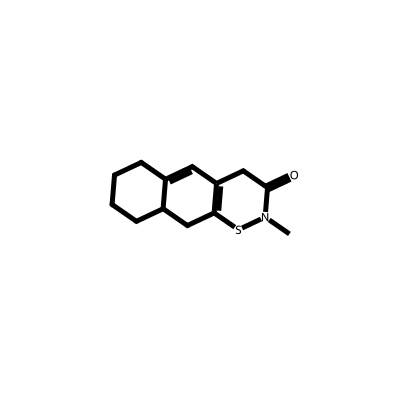 CN1SC2=C(C=C3CCCCC3C2)CC1=O